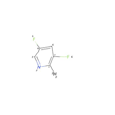 [2H]c1ncc(F)cc1F